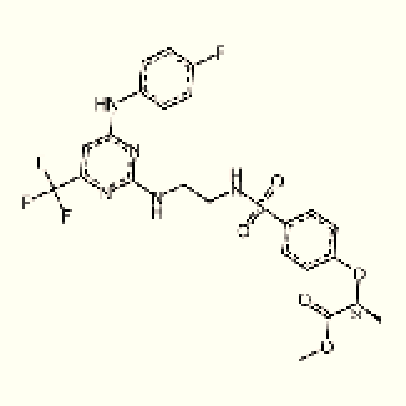 COC(=O)[C@H](C)Oc1ccc(S(=O)(=O)NCCNc2nc(Nc3ccc(F)cc3)cc(C(F)(F)F)n2)cc1